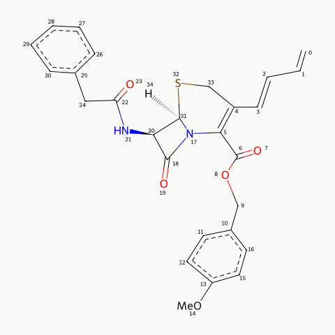 C=C/C=C/C1=C(C(=O)OCc2ccc(OC)cc2)N2C(=O)[C@@H](NC(=O)Cc3ccccc3)[C@H]2SC1